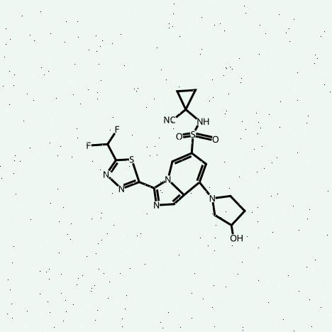 N#CC1(NS(=O)(=O)c2cc(N3CCC(O)C3)c3cnc(-c4nnc(C(F)F)s4)n3c2)CC1